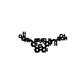 COc1nc(-c2cccc(-c3ccnc(-c4cc(OC)c5nc(CN[C@H]6C[C@@](C)(O)C6)cn5c4)c3Cl)c2Cl)ccc1CNC[C@H]1CCC(=O)N1